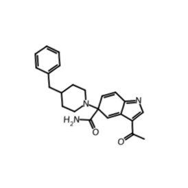 CC(=O)C1=CN=C2C=CC(C(N)=O)(N3CCC(Cc4ccccc4)CC3)C=C12